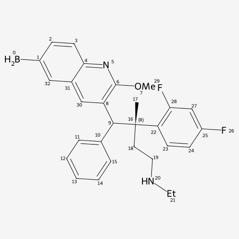 Bc1ccc2nc(OC)c(C(c3ccccc3)[C@@](C)(CCNCC)c3ccc(F)cc3F)cc2c1